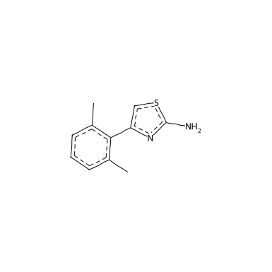 Cc1cccc(C)c1-c1csc(N)n1